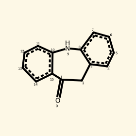 O=C1Cc2[c]cccc2Nc2ccccc21